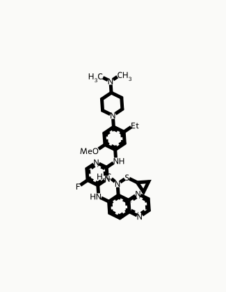 CCc1cc(Nc2ncc(F)c(Nc3ccc4nccnc4c3N(C)SC3CC3)n2)c(OC)cc1N1CCC(N(C)C)CC1